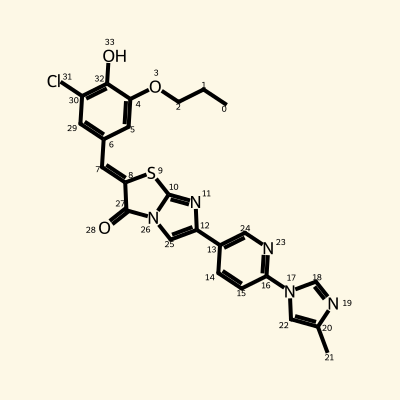 CCCOc1cc(/C=c2\sc3nc(-c4ccc(-n5cnc(C)c5)nc4)cn3c2=O)cc(Cl)c1O